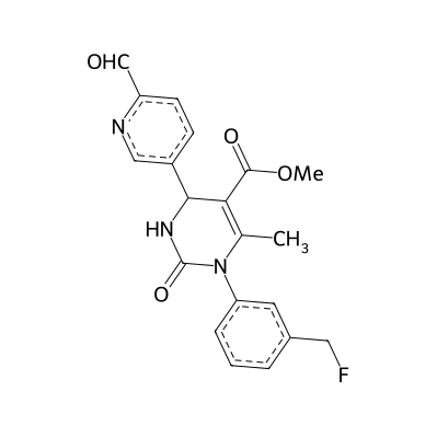 COC(=O)C1=C(C)N(c2cccc(CF)c2)C(=O)NC1c1ccc(C=O)nc1